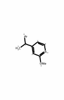 COc1cc(C(C)C(C)C)ccn1